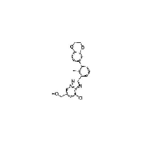 Cc1c(-c2ccc3c(c2)OCCO3)cccc1-c1nc2c(Cl)cc(CO)cn2n1